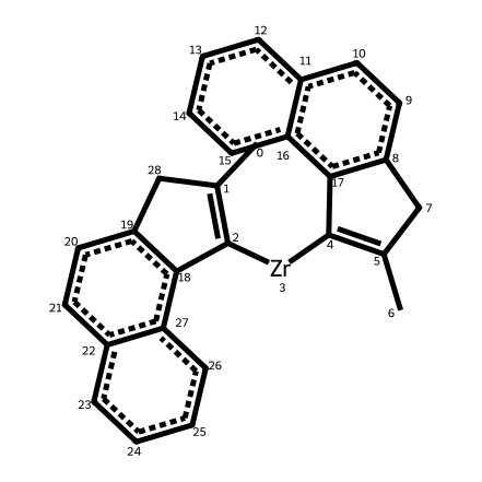 CC1=[C]([Zr][C]2=C(C)Cc3ccc4ccccc4c32)c2c(ccc3ccccc23)C1